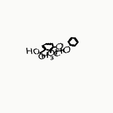 CC(Oc1ccccc1)Oc1cccc(C(=O)O)c1O